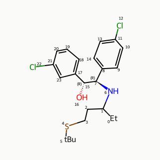 CCC(CCSC(C)(C)C)N[C@H](c1ccc(Cl)cc1)[C@H](O)c1cccc(Cl)c1